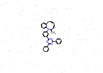 C=C1/C=C\C=C/Cc2ccccc2N1c1cccc(-c2nc(C3=CCCC=C3)nc(-c3ccccc3)n2)c1